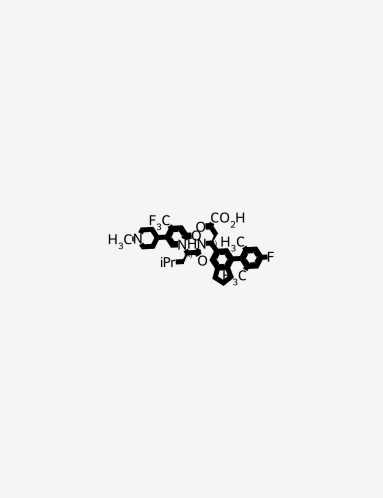 Cc1cc(F)cc(C)c1-c1cc([C@H](CC(=O)C(=O)O)NC(=O)[C@@H](CC(C)C)n2cc(C3CCN(C)CC3)c(C(F)(F)F)cc2=O)cc2c1CCC2